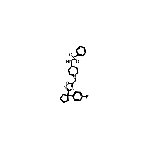 O=S(=O)(NC1CCN(Cc2nc(C3(c4ccc(F)cc4)CCCC3)no2)CC1)c1ccccc1